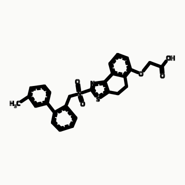 Cc1cccc(-c2ccccc2CS(=O)(=O)c2nc3c(s2)CCc2c(OCC(=O)O)cccc2-3)c1